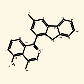 Cc1cc2c(c(-c3ncc(C)c4c(C(C)C)cccc34)c1)Cc1ccccc1-2